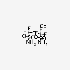 NS(=O)(=O)C(F)(F)F.NS(=O)(=O)C(F)(F)F.[Co]